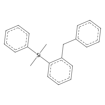 C[Si](C)(c1ccccc1)c1ccccc1Cc1ccccc1